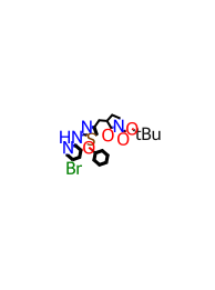 CC(C)(C)OC(=O)N1CCC(Cc2csc(Nc3ncc(Br)cc3Oc3ccccc3)n2)C1=O